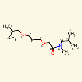 CC(C)COCCCOCC(=O)N(C)CC(C)C